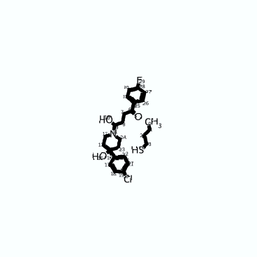 CCCCS.O=C(CCC(O)N1CCC(O)(c2ccc(Cl)cc2)CC1)c1ccc(F)cc1